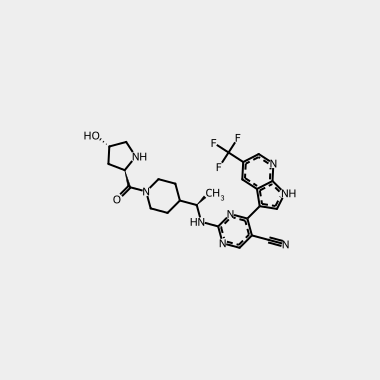 C[C@@H](Nc1ncc(C#N)c(-c2c[nH]c3ncc(C(F)(F)F)cc23)n1)C1CCN(C(=O)[C@H]2C[C@H](O)CN2)CC1